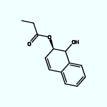 CCC(=O)O[C@@H]1C=Cc2ccccc2C1O